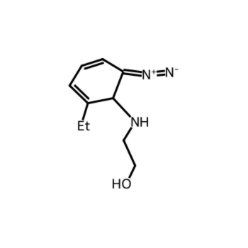 CCC1=CC=CC(=[N+]=[N-])C1NCCO